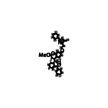 COC(=O)CC(Nc1ccccc1C(=O)c1ccccc1)c1ccc(OCCc2nc(-c3ccccc3)sc2C)cc1